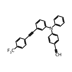 C#Cc1ccc(N(c2ccccc2)c2cccc(C#Cc3ccc(C(F)(F)F)cc3)c2)cc1